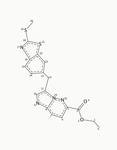 CCOC(=O)c1ccc2ncc(Cc3ccc4nc(SC)sc4c3)n2n1